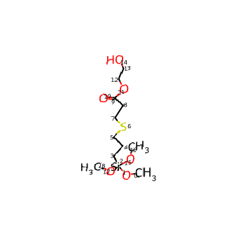 CO[Si](CCCSCCC(=O)OCCO)(OC)OC